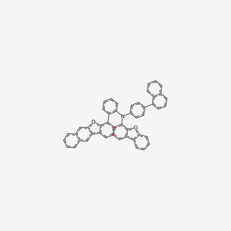 c1ccc(N(c2ccc(-c3cccc4ccccc34)cc2)c2cccc3c2oc2ccccc23)c(-c2cccc3c2oc2cc4ccccc4cc23)c1